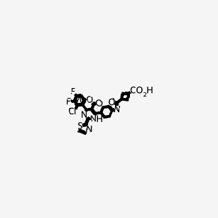 COC(=O)C1=C(C2CCc3nc(C4CC(C(=O)O)C4)oc3C2)NC(c2nccs2)=NC1c1ccc(F)c(F)c1Cl